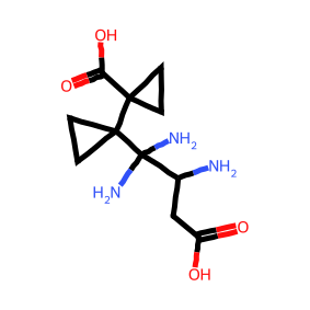 NC(CC(=O)O)C(N)(N)C1(C2(C(=O)O)CC2)CC1